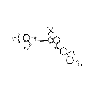 COc1cc(S(C)(=O)=O)ccc1NCC#Cc1cc2c(NC3CCC(C)(N4CCCC(OC)C4)CC3)cccc2n1CC(F)(F)F